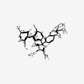 CN1C(=O)C(c2ccc3c(c2)CCC(C)(C)O3)(c2ccc(F)c(-c3cc(Cl)cnc3F)c2)N=C1N